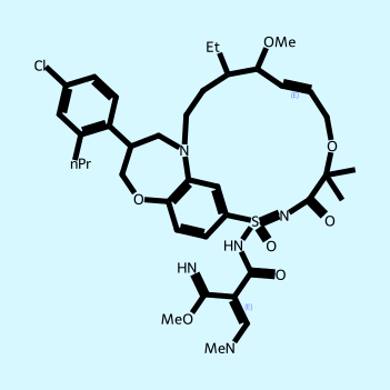 CCCc1cc(Cl)ccc1C1COc2ccc3cc2N(CCC(CC)C(OC)/C=C/COC(C)(C)C(=O)N=S3(=O)NC(=O)/C(=C/NC)C(=N)OC)C1